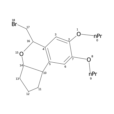 CCCOc1cc2c(cc1OCCC)C1CCCC1OC2CBr